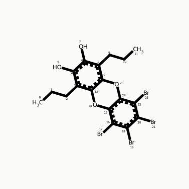 CCCc1c(O)c(O)c(CCC)c2c1Oc1c(Br)c(Br)c(Br)c(Br)c1O2